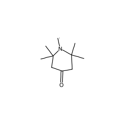 [CH2]N1C(C)(C)CC(=O)CC1(C)C